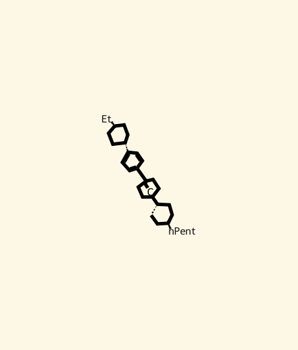 CCCCC[C@H]1CC[C@H](C23CCC(c4ccc([C@H]5CC[C@H](CC)CC5)cc4)(CC2)CC3)CC1